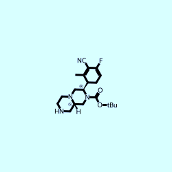 CC1=C(C#N)C(F)=CCC1[C@@H]1CN2CCNC[C@H]2CN1C(=O)OC(C)(C)C